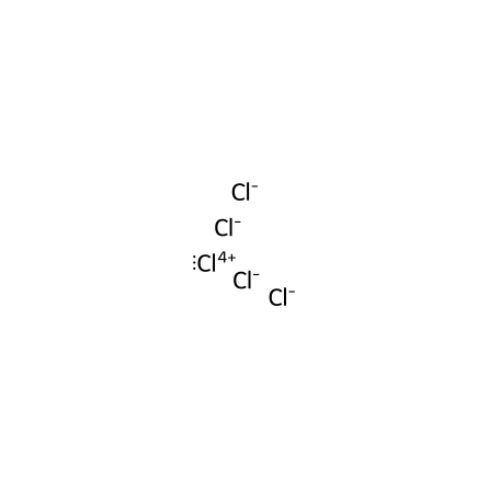 [Cl+4].[Cl-].[Cl-].[Cl-].[Cl-]